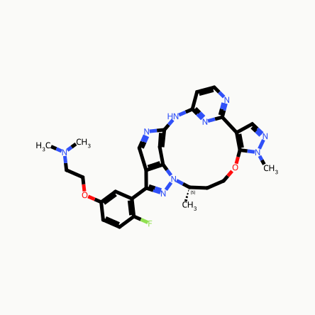 C[C@H]1CCOc2c(cnn2C)-c2nccc(n2)Nc2cc3c(cn2)c(-c2cc(OCCN(C)C)ccc2F)nn31